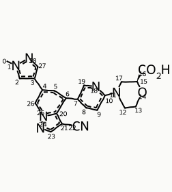 Cn1cc(-c2cc(-c3ccc(N4CCO[C@H](C(=O)O)C4)nc3)c3c(C#N)cnn3c2)cn1